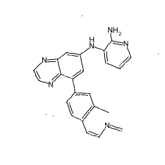 C=N/C=C\c1ccc(-c2cc(Nc3cccnc3N)cc3nccnc23)cc1C